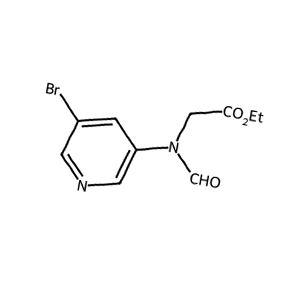 CCOC(=O)CN(C=O)c1cncc(Br)c1